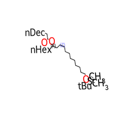 CCCCCCCCCCCC(=O)O[C@@H](C/C=C\CCCCCCCCO[Si](C)(C)C(C)(C)C)CCCCCC